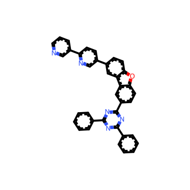 c1ccc(-c2nc(-c3ccccc3)nc(-c3ccc4oc5ccc(-c6ccc(-c7cccnc7)nc6)cc5c4c3)n2)cc1